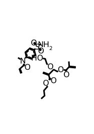 C=C(C)C(=O)OCC(OCCO)C(=C)C(=O)OCCCC.C=CC(=O)N(C)c1ccc(S(N)(=O)=O)cc1